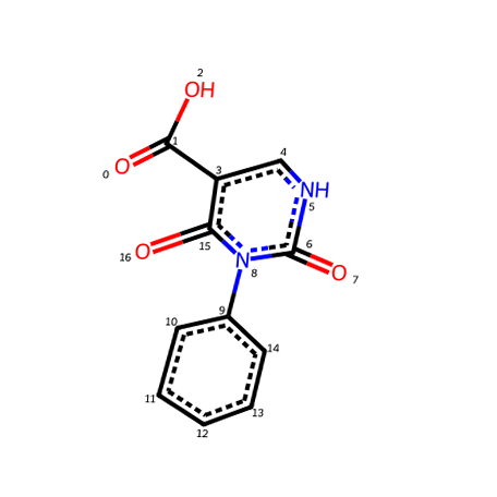 O=C(O)c1c[nH]c(=O)n(-c2ccccc2)c1=O